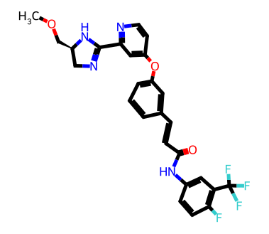 COC[C@@H]1CN=C(c2cc(Oc3cccc(/C=C/C(=O)Nc4ccc(F)c(C(F)(F)F)c4)c3)ccn2)N1